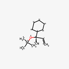 C=C[C@](C#N)(O[Si](C)(C)C)C1CCCCC1